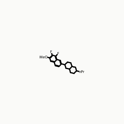 CCCC1CCC2CC(c3ccc4cc(OC)c(F)c(F)c4c3)CCC2C1